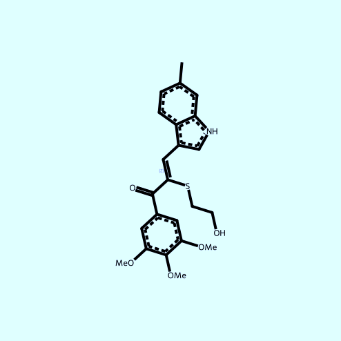 COc1cc(C(=O)/C(=C/c2c[nH]c3cc(C)ccc23)SCCO)cc(OC)c1OC